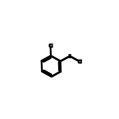 ClSc1ccccc1Cl